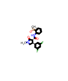 CN1C[C@H](c2cc(F)cc(F)c2)[C@@H](C(=O)Nc2ccccc2[S+](C)[O-])C1=O